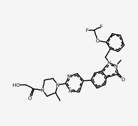 CC1CN(C(=O)CO)CCN1c1ncc(-c2ccc3c(=O)n(C)n(Cc4ccccc4OC(F)F)c3c2)cn1